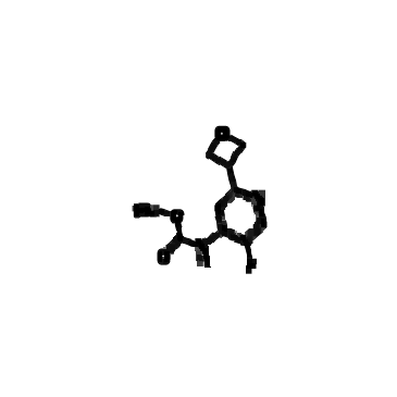 CC(C)(C)OC(=O)Nc1cc(C2COC2)ncc1F